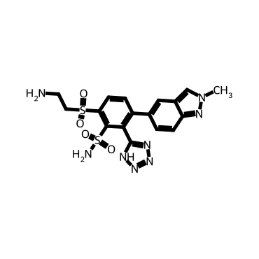 Cn1cc2cc(-c3ccc(S(=O)(=O)CCN)c(S(N)(=O)=O)c3-c3nnn[nH]3)ccc2n1